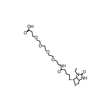 CCN1C(=O)NC2CS[C@@H](CCCCC(=O)NCCOCCOCCOCCOCCC(=O)O)C21